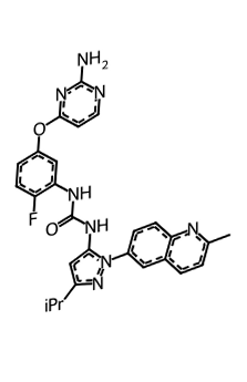 Cc1ccc2cc(-n3nc(C(C)C)cc3NC(=O)Nc3cc(Oc4ccnc(N)n4)ccc3F)ccc2n1